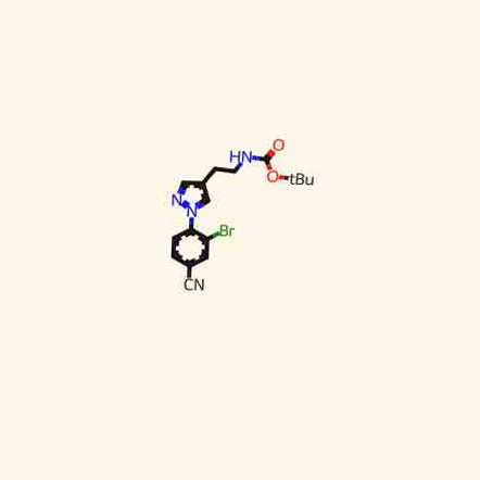 CC(C)(C)OC(=O)NCCc1cnn(-c2ccc(C#N)cc2Br)c1